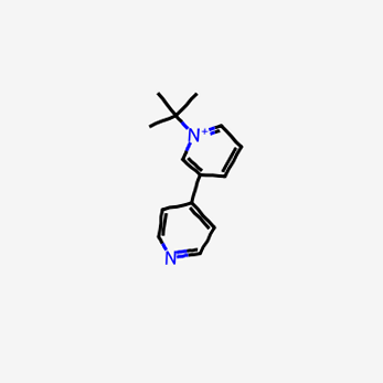 CC(C)(C)[n+]1cccc(-c2ccncc2)c1